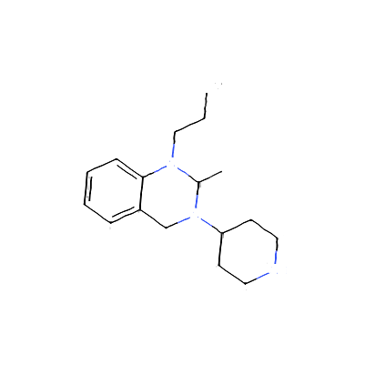 COCCN1c2ccccc2CN(C2CCNCC2)C1C=O